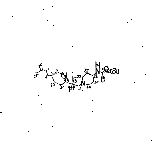 C[C@H](F)CCC1=CN=C(C(F)(F)CN2CCC(NC(=O)OC(C)(C)C)CC2)CC1